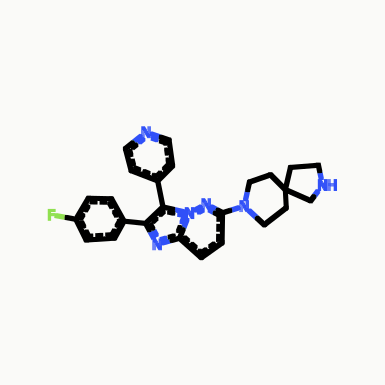 Fc1ccc(-c2nc3ccc(N4CCC5(CCNC5)CC4)nn3c2-c2ccncc2)cc1